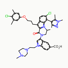 Cc1cc(OCCCc2c3n(c4c(-c5c(C)nn(C)c5C)c(Cl)ccc24)C(C)CN(c2cn(CCN4CCN(C)CC4)c4ccc(C(=O)O)cc24)C3=O)cc(C)c1Cl